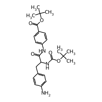 CC(C)(C)OC(=O)NC(Cc1ccc(N)cc1)C(=O)Nc1ccc(C(=O)OC(C)(C)C)cc1